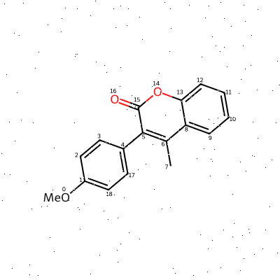 COc1ccc(-c2c(C)c3ccccc3oc2=O)cc1